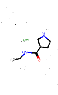 Cl.O=C(NCC(F)(F)F)C1CCNC1